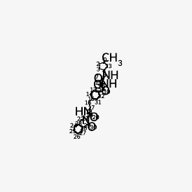 CC1CCC(NC(=O)NS(=O)(=O)c2ccc(CCNC(=O)N3Cc4ccccc4C3=O)cc2)C1